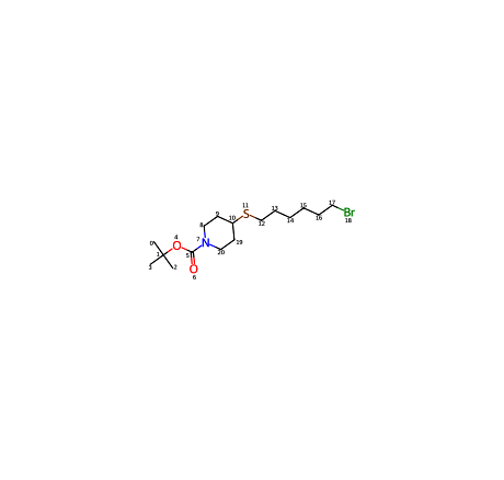 CC(C)(C)OC(=O)N1CCC(SCCCCCCBr)CC1